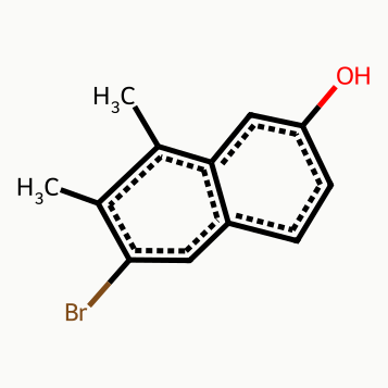 Cc1c(Br)cc2ccc(O)cc2c1C